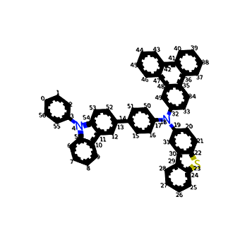 c1ccc(-n2c3ccccc3c3cc(-c4ccc(N(c5ccc6sc7ccccc7c6c5)c5ccc6c7ccccc7c7ccccc7c6c5)cc4)ccc32)cc1